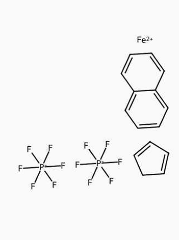 C1=CCC=C1.F[P-](F)(F)(F)(F)F.F[P-](F)(F)(F)(F)F.[Fe+2].c1ccc2ccccc2c1